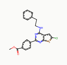 COC(=O)c1ccc(-c2nc(NCCc3ccccc3)c3cc(Cl)sc3n2)cc1